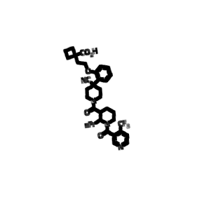 CCCC1C(C(=O)N2CCC(C#N)(c3ccccc3OCCC3(C(=O)O)CCC3)CC2)CCCN1C(=O)c1cnccc1C(F)(F)F